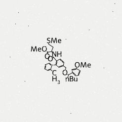 CCCCC(OCc1ccc(C(=O)NC(CCSC)C(=O)OC)c(-c2ccccc2C)c1)c1cccc(OC)c1